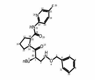 CCCC[C@H](CNOCc1ccccc1)C(=O)N1CCC[C@H]1C(=O)Nc1ccc(F)cn1